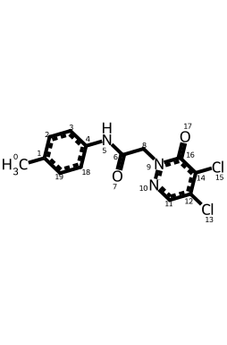 Cc1ccc(NC(=O)Cn2ncc(Cl)c(Cl)c2=O)cc1